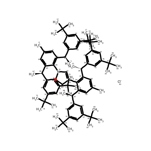 Cc1cc([C@H](C)c2cc(C(C)(C)C)cc(C(C)(C)C)c2)c(N2C=[N+](c3c([C@H](C)c4cc(C(C)(C)C)cc(C(C)(C)C)c4)cc(C)cc3[C@H](C)c3cc(C(C)(C)C)cc(C(C)(C)C)c3)CC2)c([C@H](C)c2cc(C(C)(C)C)cc(C(C)(C)C)c2)c1.[Cl-]